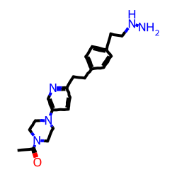 CC(=O)N1CCN(c2ccc(CCc3ccc(CCNN)cc3)nc2)CC1